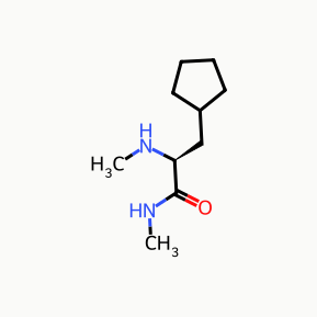 CNC(=O)[C@H](CC1CCCC1)NC